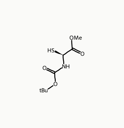 COC(=O)[C@H](S)NC(=O)OC(C)(C)C